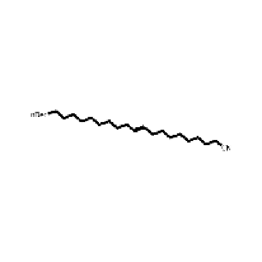 CCCCCCCCCCCCCCCCCCCC=CCCCCCCCCC#N